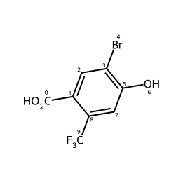 O=C(O)c1cc(Br)c(O)cc1C(F)(F)F